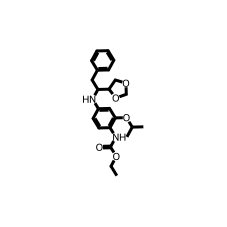 CCOC(=O)Nc1ccc(NC(Cc2ccccc2)C2COCO2)cc1OC(C)C